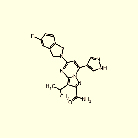 CC(C)c1c(C(N)=O)nn2c(-c3cn[nH]c3)cc(N3Cc4ccc(F)cc4C3)nc12